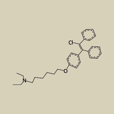 CCN(CC)CCCCCCOc1ccc(C(=C(Cl)c2ccccc2)c2ccccc2)cc1